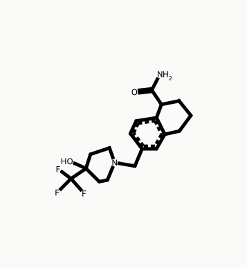 NC(=O)C1[C]CCc2cc(CN3CCC(O)(C(F)(F)F)CC3)ccc21